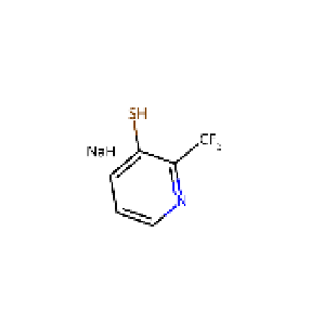 FC(F)(F)c1ncccc1S.[NaH]